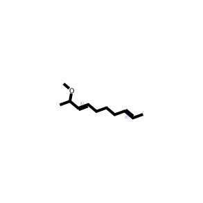 C/C=C/CCC/C=C/C(C)OC